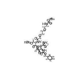 CCCCOC(C)[C@@H](NC(=O)COCCOCCNC(=O)OC(C)(C)C)C(=O)NN(C)C(=O)[C@@H](CC(N)=O)NC(=O)OCc1ccccc1